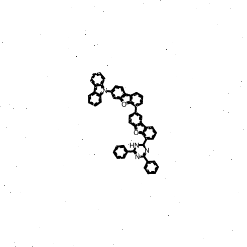 c1ccc(C2=NC(c3cccc4c3oc3ccc(-c5cccc6c5oc5cc(-n7c8ccccc8c8ccccc87)ccc56)cc34)NC(c3ccccc3)=N2)cc1